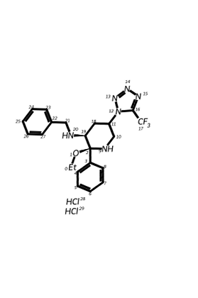 CCO[C@]1(c2ccccc2)NCC(n2nnnc2C(F)(F)F)C[C@@H]1NCc1ccccc1.Cl.Cl